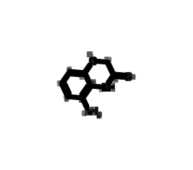 Nc1[c]ccc2c1NC(=O)CO2